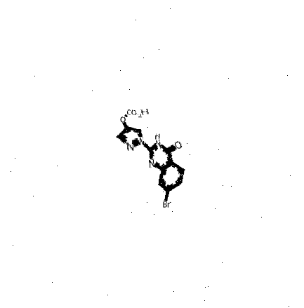 O=C(O)Oc1cnn(-c2nc3cc(Br)ccc3c(=O)[nH]2)c1